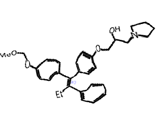 CC/C(=C(\c1ccc(OCOC)cc1)c1ccc(OCC(O)CN2CCCC2)cc1)c1ccccc1